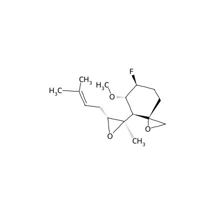 CO[C@@H]1[C@@H](F)CC[C@]2(CO2)[C@H]1[C@@]1(C)O[C@@H]1CC=C(C)C